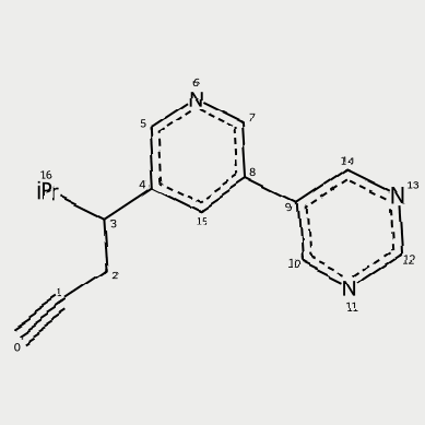 C#CCC(c1cncc(-c2cncnc2)c1)C(C)C